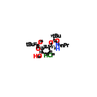 CCCNC[C@@H](OC(=O)C(C)(C)C)c1ccc(O)c(OC(=O)C(C)(C)C)c1.Cl